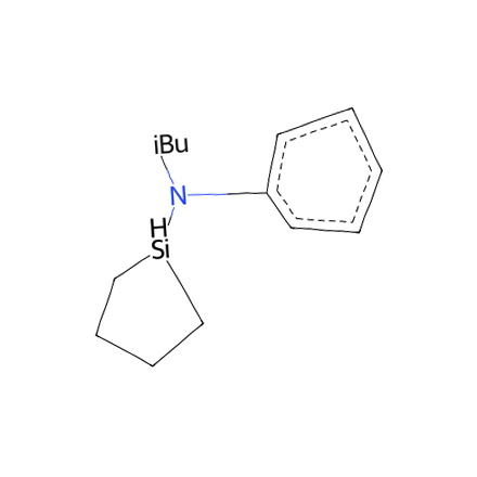 CCC(C)N(c1ccccc1)[SiH]1CCCC1